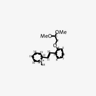 COC(COc1ccccc1/C=C/c1cccc[n+]1C)OC